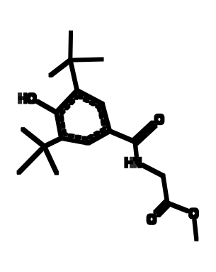 COC(=O)CNC(=O)c1cc(C(C)(C)C)c(O)c(C(C)(C)C)c1